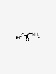 CC(C)OC(=O)CN